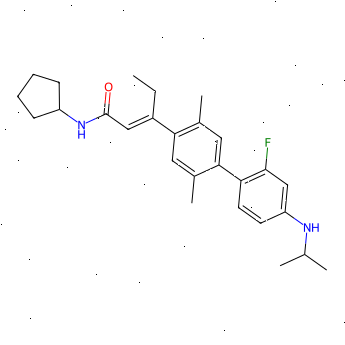 CC/C(=C\C(=O)NC1CCCC1)c1cc(C)c(-c2ccc(NC(C)C)cc2F)cc1C